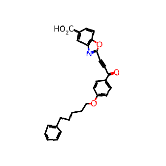 O=C(O)c1ccc2oc(C#CC(=O)c3ccc(OCCCCCc4ccccc4)cc3)nc2c1